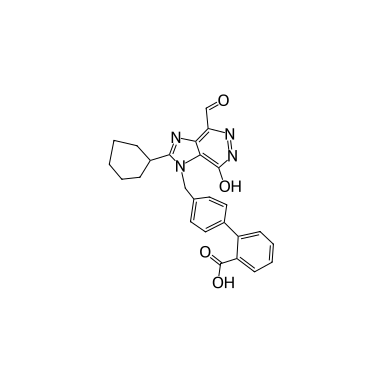 O=Cc1nnc(O)c2c1nc(C1CCCCC1)n2Cc1ccc(-c2ccccc2C(=O)O)cc1